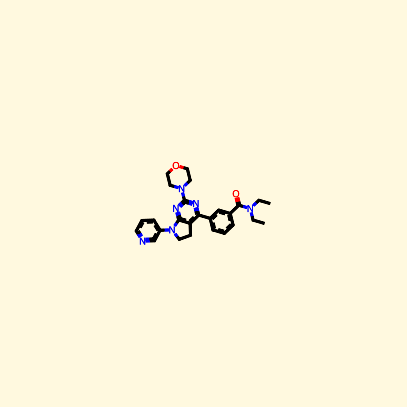 CCN(CC)C(=O)c1cccc(-c2nc(N3CCOCC3)nc3c2CCN3c2cccnc2)c1